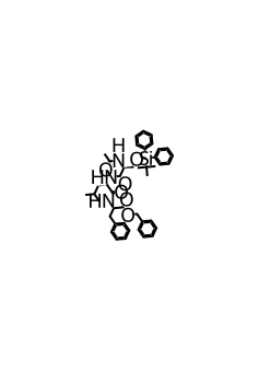 CC(=O)N[C@@H](CO[Si](c1ccccc1)(c1ccccc1)C(C)(C)C)C(=O)N[C@@H](CC(C)C)C(=O)NC(Cc1ccccc1)C(=O)OCc1ccccc1